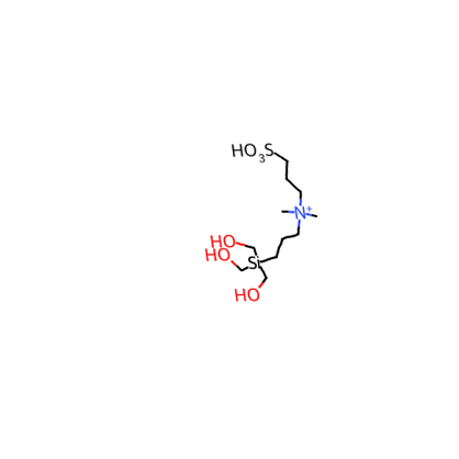 C[N+](C)(CCC[Si](CO)(CO)CO)CCCS(=O)(=O)O